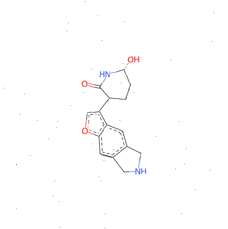 O=C1NC(O)CCC1c1coc2cc3c(cc12)CNC3